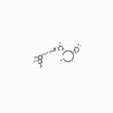 CC[C@H]1OC(=O)[C@H](C)[C@@H](O[C@H]2C[C@@](C)(OC)[C@@H](OS(=O)(=O)CCNCCCc3cc4c5c(c3)c(=O)c(C(=O)O)cn5C(C)OC4)[C@H](C)O2)[C@H](C)[C@@H](O[C@@H]2O[C@H](C)C[C@H](N(C)C)[C@H]2O)[C@](C)(OC)C[C@@H](C)C(=O)[C@H](C)[C@@H](O)[C@]1(C)O